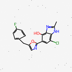 Cc1nc2c(O)c(-c3ncc(Cc4ccc(F)cc4)o3)cc(Cl)c2[nH]1